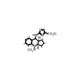 CCOC(=O)c1csc(NC2c3ccccc3N(C(=O)O)[C@@H]3CCC[C@H]23)n1